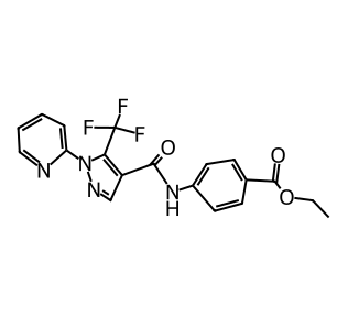 CCOC(=O)c1ccc(NC(=O)c2cnn(-c3ccccn3)c2C(F)(F)F)cc1